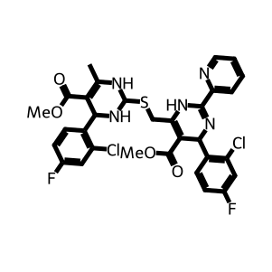 COC(=O)C1=C(CSC2NC(C)=C(C(=O)OC)C(c3ccc(F)cc3Cl)N2)NC(c2ccccn2)=NC1c1ccc(F)cc1Cl